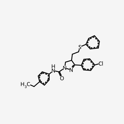 CCc1ccc(NC(=O)N2CC(CCSc3ccccc3)C(c3ccc(Cl)cc3)=N2)cc1